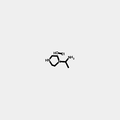 CC(N)N1CCNCC1.CCO